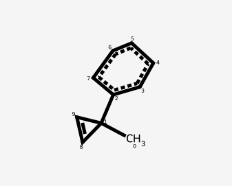 CC1(c2ccccc2)C=C1